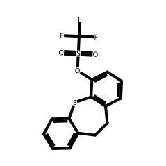 O=S(=O)(Oc1cccc2c1Sc1ccccc1CC2)C(F)(F)F